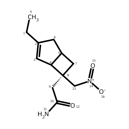 CCC1=CC2C(C1)C[C@@]2(CC(N)=O)C[N+](=O)[O-]